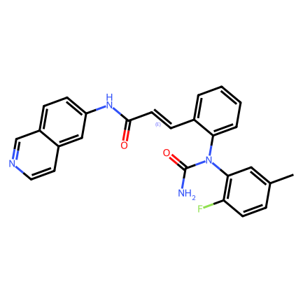 Cc1ccc(F)c(N(C(N)=O)c2ccccc2/C=C/C(=O)Nc2ccc3cnccc3c2)c1